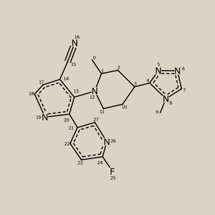 CC1CC(c2nncn2C)CCN1c1c(C#N)ccnc1-c1ccc(F)nc1